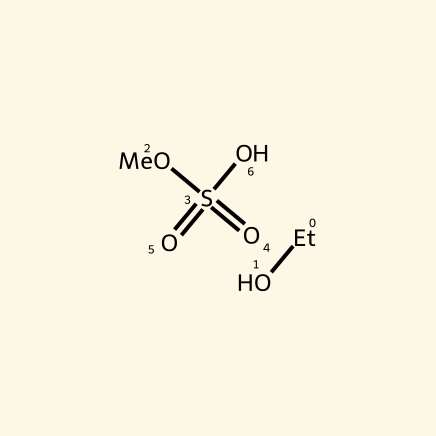 CCO.COS(=O)(=O)O